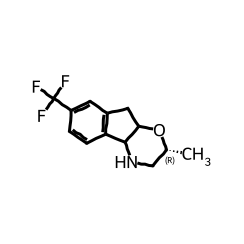 C[C@@H]1CNC2c3ccc(C(F)(F)F)cc3CC2O1